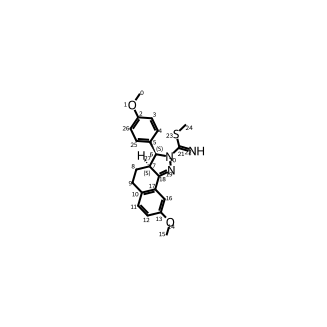 COc1ccc([C@@H]2[C@@H]3CCc4ccc(OC)cc4C3=NN2C(=N)SC)cc1